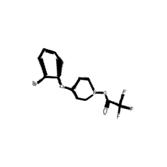 O=C(ON1CCC(Oc2ccccc2Br)CC1)C(F)(F)F